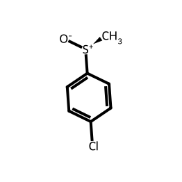 C[S@+]([O-])c1ccc(Cl)cc1